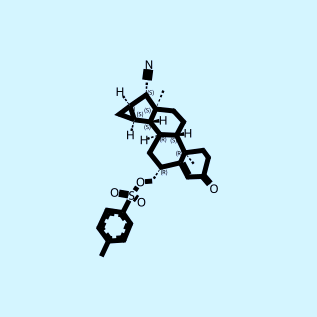 Cc1ccc(S(=O)(=O)OC[C@@H]2C[C@H]3[C@@H]4[C@H]5C[C@H]5[C@H](C#N)[C@@]4(C)CC[C@@H]3[C@@]3(C)CCC(=O)C=C23)cc1